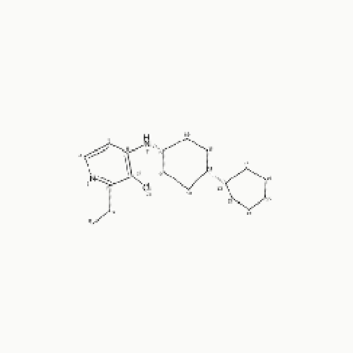 CCc1nccc(N[C@H]2CC[C@@H](C3CCCCC3)CC2)c1Cl